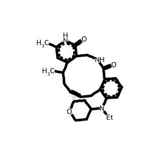 CCN(c1cccc2c1C/C=C\CC(C)c1cc(C)[nH]c(=O)c1CNC2=O)C1CCOCC1